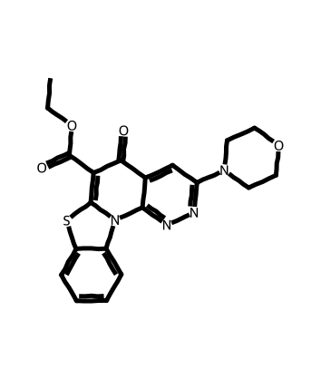 CCOC(=O)c1c(=O)c2cc(N3CCOCC3)nnc2n2c1sc1ccccc12